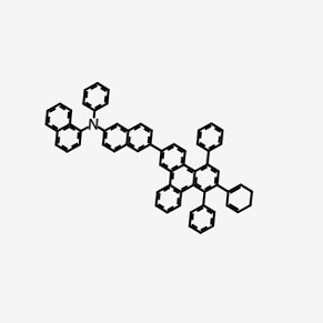 C1=CC(c2cc(-c3ccccc3)c3c4ccc(-c5ccc6cc(N(c7ccccc7)c7cccc8ccccc78)ccc6c5)cc4c4ccccc4c3c2-c2ccccc2)=CCC1